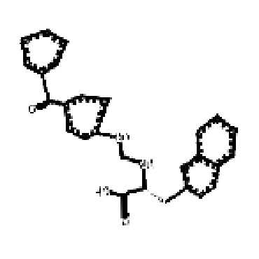 O=C(c1ccccc1)c1ccc(NCN[C@H](Cc2ccc3ccccc3c2)C(=O)O)cc1